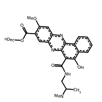 CCCCCCCCCCOC(=O)c1cc2nc3c(C(=O)NCC(C)NC)c(O)c4ccccc4c3nc2cc1OC